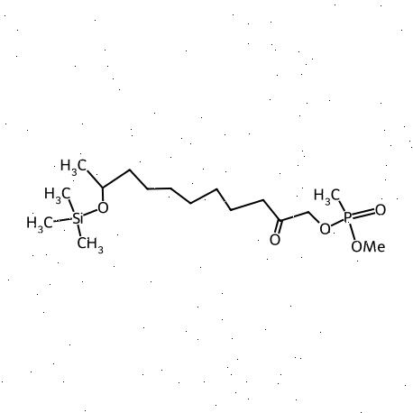 COP(C)(=O)OCC(=O)CCCCCCCC(C)O[Si](C)(C)C